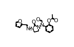 CC(=O)Oc1ccccc1N(C=O)N1CCN(N=Cc2ccco2)C1=O